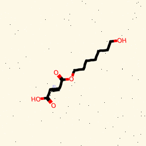 O=C(O)/C=C/C(=O)OCCCCCCCO